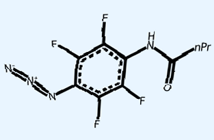 CCCC(=O)Nc1c(F)c(F)c(N=[N+]=[N-])c(F)c1F